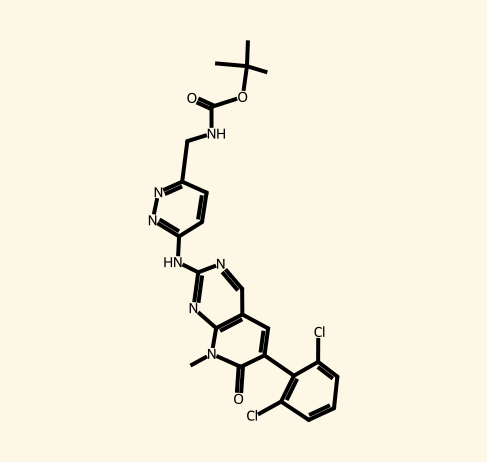 Cn1c(=O)c(-c2c(Cl)cccc2Cl)cc2cnc(Nc3ccc(CNC(=O)OC(C)(C)C)nn3)nc21